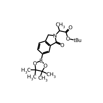 CC(C(=O)OC(C)(C)C)N1Cc2ccc(B3OC(C)(C)C(C)(C)O3)cc2C1=O